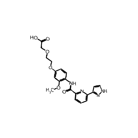 COc1cc(OCCOCC(=O)O)ccc1NC(=O)c1cccc(-c2cc[nH]n2)n1